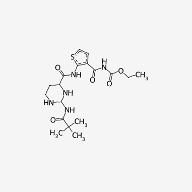 CCOC(=O)NC(=O)c1ccsc1NC(=O)C1CCNC(NC(=O)C(C)(C)C)N1